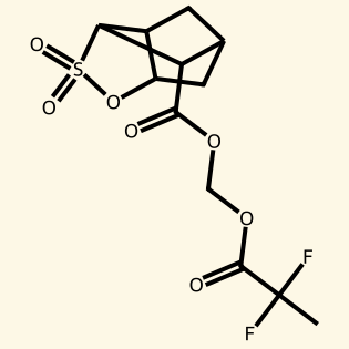 CC(F)(F)C(=O)OCOC(=O)C1C2CC3OS(=O)(=O)C1C3C2